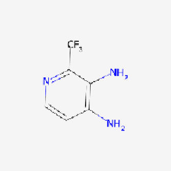 Nc1ccnc(C(F)(F)F)c1N